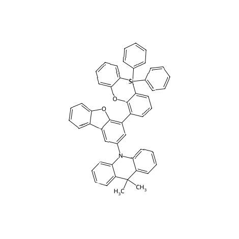 CC1(C)c2ccccc2N(c2cc(-c3cccc4c3Oc3ccccc3[Si]4(c3ccccc3)c3ccccc3)c3oc4ccccc4c3c2)c2ccccc21